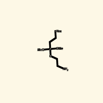 CCCCCCCC[Si](OC)(OC)OCCN